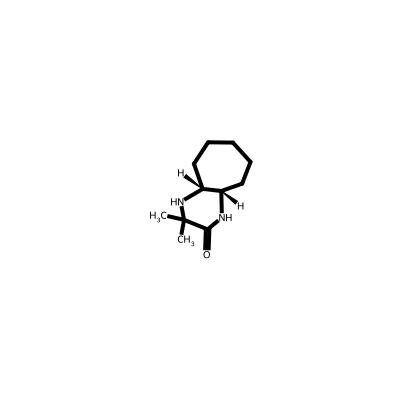 CC1(C)N[C@@H]2CCCCC[C@@H]2NC1=O